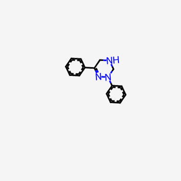 c1ccc(C2=NN(c3ccccc3)CNC2)cc1